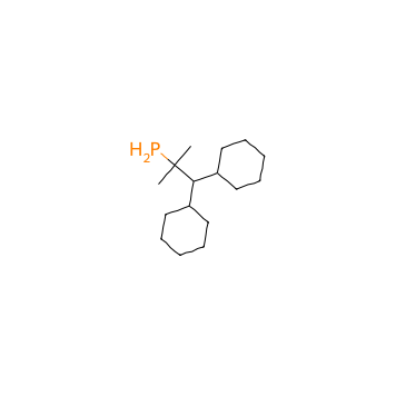 CC(C)(P)C(C1CCCCC1)C1CCCCC1